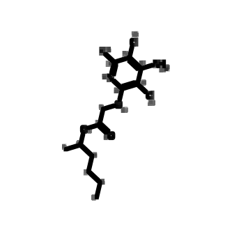 CCCCC(C)OC(=O)COc1nc(F)c(Cl)c(N)c1Cl